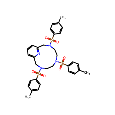 Cc1ccc(S(=O)(=O)N2CCN(S(=O)(=O)c3ccc(C)cc3)Cc3cccc(n3)CN(S(=O)(=O)c3ccc(C)cc3)CC2)cc1